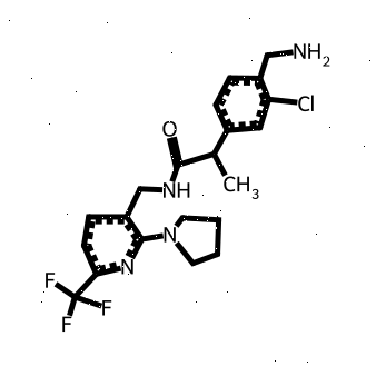 CC(C(=O)NCc1ccc(C(F)(F)F)nc1N1CCCC1)c1ccc(CN)c(Cl)c1